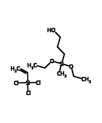 C=C[Si](Cl)(Cl)Cl.CCO[Si](C)(CCCO)OCC